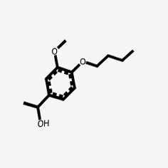 CCCCOc1ccc(C(C)O)cc1OC